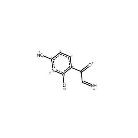 N#Cc1ccc(C(=O)C=N)c(Cl)n1